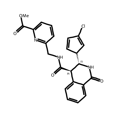 COC(=O)c1cccc(CNC(=O)[C@@H]2c3ccccc3C(=O)N[C@H]2C2C=CC(Cl)=C2)n1